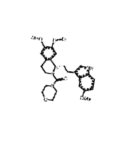 CCOc1cc2c(cc1OC)CCN(C(=O)N1CCOCC1)[C@H]2CCc1c[nH]c2ccc(OC)cc12